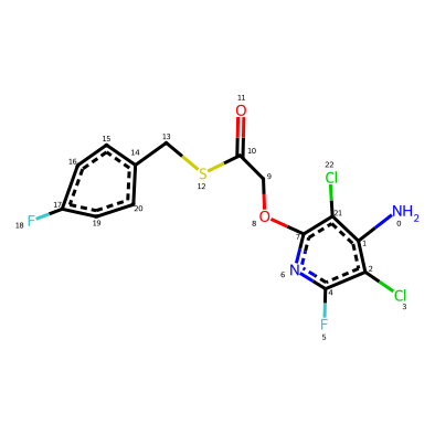 Nc1c(Cl)c(F)nc(OCC(=O)SCc2ccc(F)cc2)c1Cl